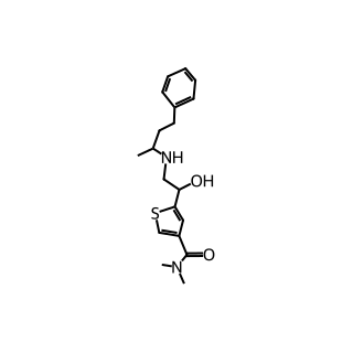 CC(CCc1ccccc1)NCC(O)c1cc(C(=O)N(C)C)cs1